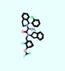 C[C@@H](C(=O)N(Cc1cccc(OC(F)F)c1F)C1Cc2ccccc2C1)N1CCc2ccccc2[C@@H]1c1ccccc1Cl